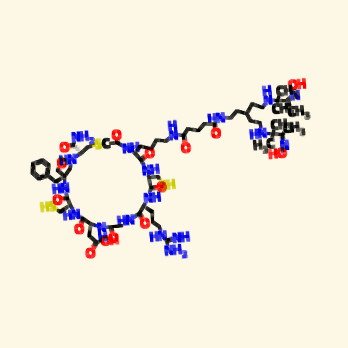 C/C(=N/O)C(C)(C)NCCC(CCNC(=O)CCCC(=O)NCCCC[C@@H]1NC(=O)CSC[C@@H](C(N)=O)NC[C@](C=O)(Cc2ccccc2)NC(=O)[C@H](CS)NC(=O)[C@H](CC(=O)O)NC(=O)CNC(=O)[C@H](CCCNC(=N)N)NC(=O)C(CS)NC1=O)CCNC(C)(C)/C(C)=N\O